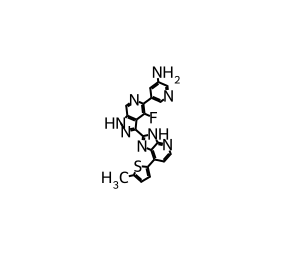 Cc1ccc(-c2ccnc3[nH]c(-c4n[nH]c5cnc(-c6cncc(N)c6)c(F)c45)nc23)s1